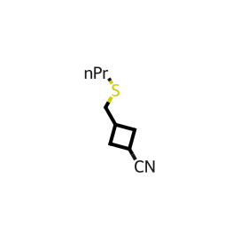 CCCSCC1CC(C#N)C1